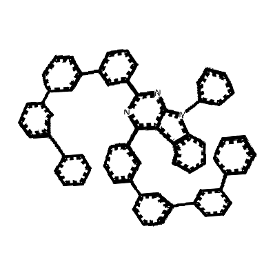 c1ccc(-c2cccc(-c3cccc(-c4cccc(-c5nc(-c6cccc(-c7cccc(-c8cccc(-c9ccccc9)c8)c7)c6)c6c7ccccc7n(-c7ccccc7)c6n5)c4)c3)c2)cc1